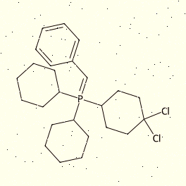 ClC1(Cl)CCC(P(=Cc2ccccc2)(C2CCCCC2)C2CCCCC2)CC1